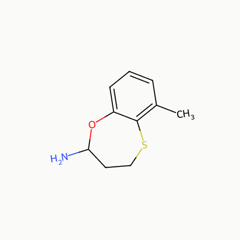 Cc1cccc2c1SCCC(N)O2